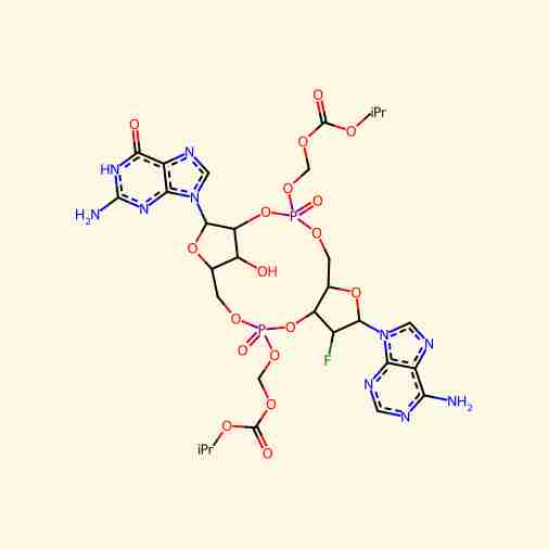 CC(C)OC(=O)OCOP1(=O)OCC2OC(n3cnc4c(=O)[nH]c(N)nc43)C(OP(=O)(OCOC(=O)OC(C)C)OCC3OC(n4cnc5c(N)ncnc54)C(F)C3O1)C2O